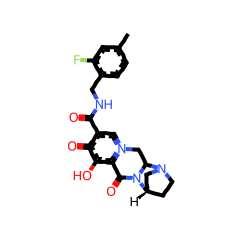 Cc1ccc(CNC(=O)c2cn3c(c(O)c2=O)C(=O)N2C(C3)N3CC[C@H]2C3)c(F)c1